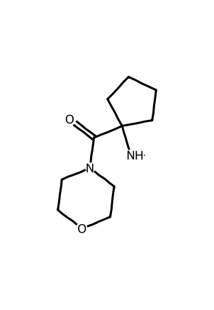 [NH]C1(C(=O)N2CCOCC2)CCCC1